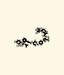 C[C@H]1CN(C[C@H]2CC[C@H](n3cc(NC(=O)c4cnn5ccc(N6C[C@H]7C[C@@H]6CO7)nc45)c(C(F)F)n3)CC2)CC[C@@H]1OCC#Cc1cccc2c1n(C1CC1)c(=O)n2C1CCC(=O)NC1=O